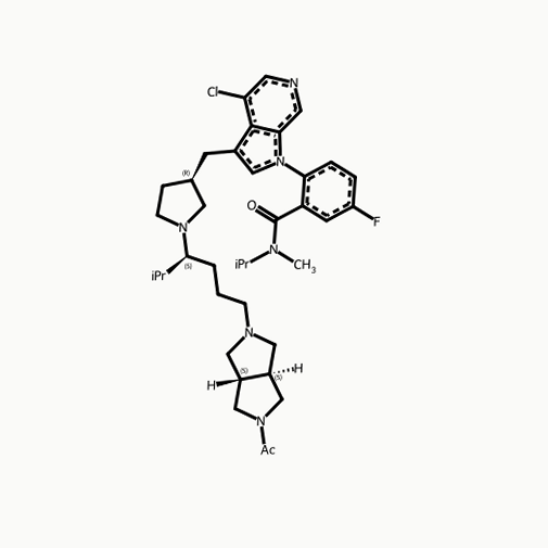 CC(=O)N1C[C@@H]2CN(CCC[C@@H](C(C)C)N3CC[C@@H](Cc4cn(-c5ccc(F)cc5C(=O)N(C)C(C)C)c5cncc(Cl)c45)C3)C[C@H]2C1